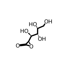 O=C1O[C@@H]1[C@@H](O)[C@@H](O)[C@H](O)CO